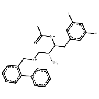 CC(=O)N[C@@H](Cc1cc(F)cc(F)c1)[C@H](N)CNCc1ccccc1-c1ccccc1